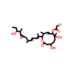 CCC(O)C(C)C1OC1CC(C)/C=C/C=C(\C)C1OC(=O)CC(O)CCC(C)(O)C(OC(=O)CCl)/C=C/C1C